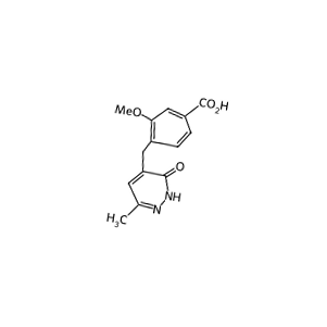 COc1cc(C(=O)O)ccc1Cc1cc(C)n[nH]c1=O